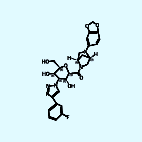 O=C([C@@H]1O[C@H](CO)[C@H](O)[C@H](n2cc(-c3cccc(F)c3)nn2)[C@H]1O)N1C[C@H]2C[C@@H]1CN2c1ccc2c(c1)OCO2